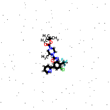 C[C@H]1CN(C(=O)OC(C)(C)C)CCN1c1nc2c(C(F)(F)F)c(Cl)cc(-c3ccccn3)c2o1